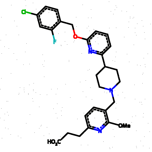 COc1nc(CCC(=O)O)ccc1CN1CCC(c2cccc(OCc3ccc(Cl)cc3F)n2)CC1